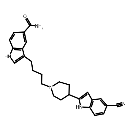 N#Cc1ccc2[nH]c(C3CCN(CCCCc4c[nH]c5ccc(C(N)=O)cc45)CC3)cc2c1